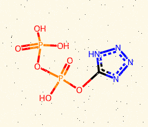 O=P(O)(O)OP(=O)(O)Oc1nnn[nH]1